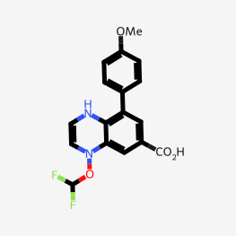 COc1ccc(-c2cc(C(=O)O)cc3c2NC=CN3OC(F)F)cc1